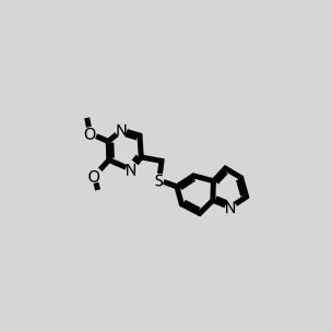 COc1ncc(CSc2ccc3ncccc3c2)nc1OC